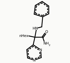 CCCCCCC(NCc1ccccc1)(C(N)=O)c1ccncn1